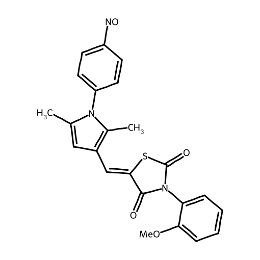 COc1ccccc1N1C(=O)SC(=Cc2cc(C)n(-c3ccc(N=O)cc3)c2C)C1=O